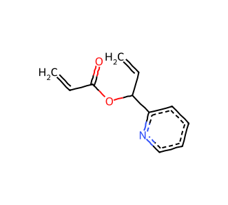 C=CC(=O)OC(C=C)c1ccccn1